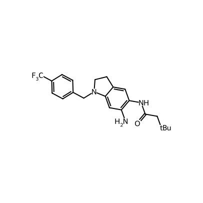 CC(C)(C)CC(=O)Nc1cc2c(cc1N)N(Cc1ccc(C(F)(F)F)cc1)CC2